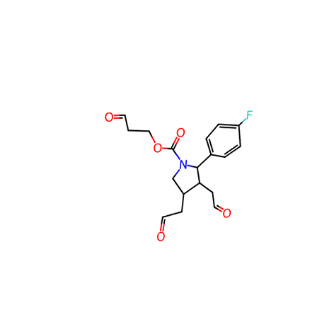 O=CCCOC(=O)N1CC(CC=O)C(CC=O)C1c1ccc(F)cc1